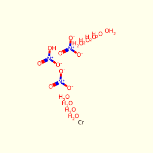 O.O.O.O.O.O.O.O.O.O=[N+]([O-])O.O=[N+]([O-])[O-].O=[N+]([O-])[O-].[Cr]